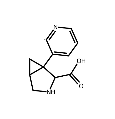 O=C(O)C1NCC2CC21c1[c]nccc1